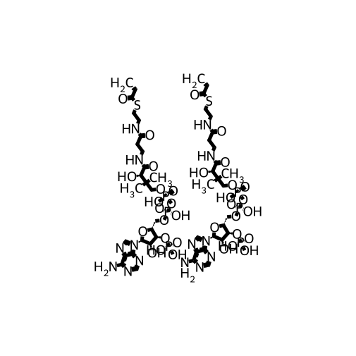 C=CC(=O)SCCNC(=O)CCNC(=O)[C@H](O)C(C)(C)COP(=O)(O)OP(=O)(O)OC[C@H]1O[C@@H](n2cnc3c(N)ncnc32)[C@H](O)[C@@H]1OP(=O)(O)O.C=CC(=O)SCCNC(=O)CCNC(=O)[C@H](O)C(C)(C)COP(=O)(O)OP(=O)(O)OC[C@H]1O[C@@H](n2cnc3c(N)ncnc32)[C@H](O)[C@@H]1OP(=O)(O)O